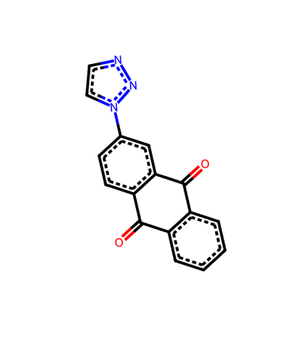 O=C1c2ccccc2C(=O)c2cc(-n3ccnn3)ccc21